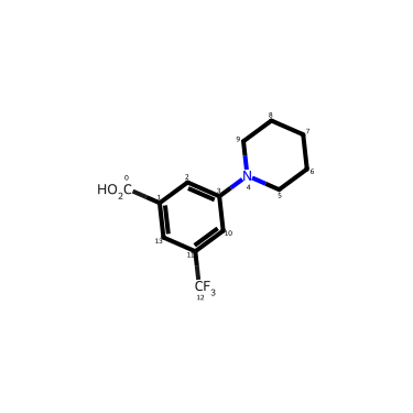 O=C(O)c1cc(N2CCCCC2)cc(C(F)(F)F)c1